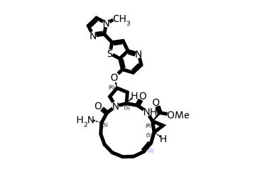 COC(=O)[C@@]12C[C@H]1/C=C\CCCCC[C@H](N)C(=O)N1C[C@H](Oc3ccnc4cc(-c5nccn5C)sc34)C[C@H]1C(=O)N2